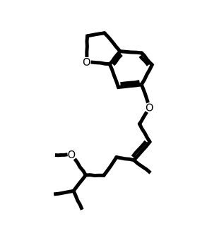 COC(CCC(C)=CCOc1ccc2c(c1)OCC2)C(C)C